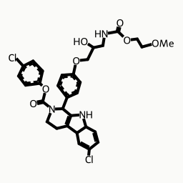 COCCOC(=O)NCC(O)COc1ccc(C2C3=C(CCN2C(=O)Oc2ccc(Cl)cc2)C2C=C(Cl)C=CC2N3)cc1